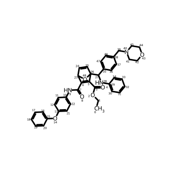 CCOC(=O)C1=C(C(=O)Nc2ccc(Oc3ccccc3)cc2)C2C=CC1(C(Nc1ccccc1)c1ccc(CN3CCOCC3)cc1)O2